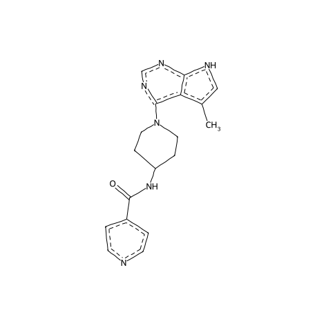 Cc1c[nH]c2ncnc(N3CCC(NC(=O)c4ccncc4)CC3)c12